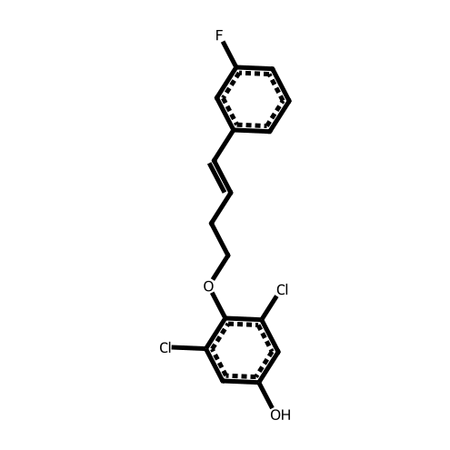 Oc1cc(Cl)c(OCCC=Cc2cccc(F)c2)c(Cl)c1